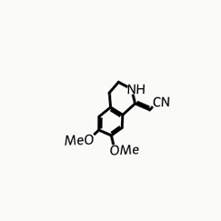 COc1cc2c(cc1OC)C(=CC#N)NCC2